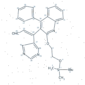 CC(C)(C)[Si](C)(C)OCCOc1nc2ccccc2c(-c2ccccc2)c1/C(=C/C=O)c1cncnc1